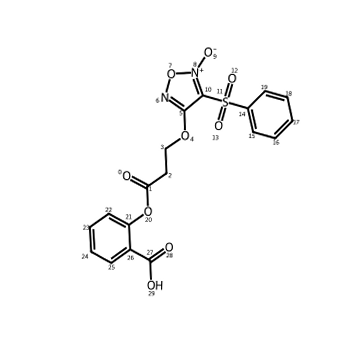 O=C(CCOc1no[n+]([O-])c1S(=O)(=O)c1ccccc1)Oc1ccccc1C(=O)O